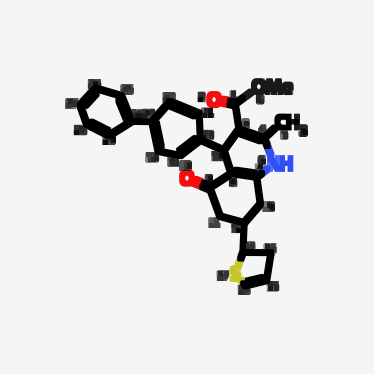 COC(=O)C1=C(C)NC2=C(C(=O)CC(C3CC=CS3)C2)C1c1ccc(-c2ccccc2)cc1